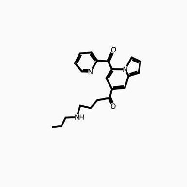 CCCNCCCC(=O)c1cc(C(=O)c2ccccn2)n2cccc2c1